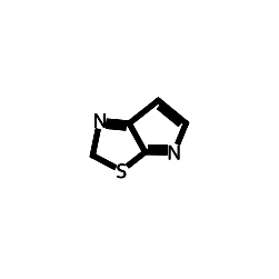 C1=CC2=NCSC2=N1